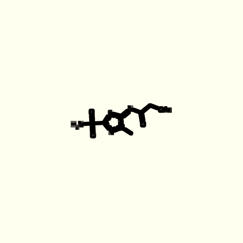 CC(=O)OCC(=O)N=c1sc(S(N)(=O)=O)nn1C